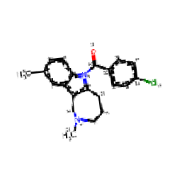 Cc1ccc2c(c1)c1c(n2C(=O)c2ccc(Cl)cc2)CCCN(C)C1